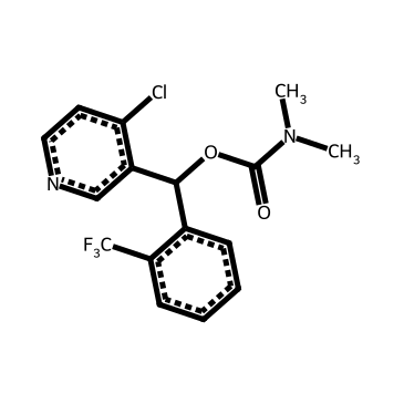 CN(C)C(=O)OC(c1cnccc1Cl)c1ccccc1C(F)(F)F